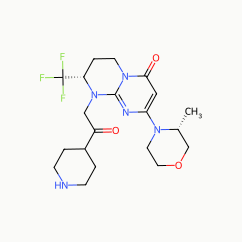 C[C@@H]1COCCN1c1cc(=O)n2c(n1)N(CC(=O)C1CCNCC1)[C@H](C(F)(F)F)CC2